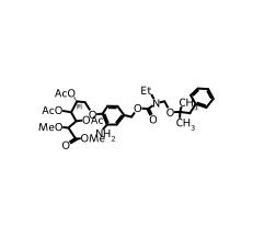 CCN(COC(C)(C)Cc1ccccc1)C(=O)OCc1ccc(OC[C@@H](OC(C)=O)C(OC(C)=O)C(OC(C)=O)C(OC)C(=O)OC)c(N)c1